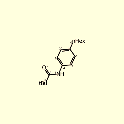 CCCCCCc1ccc(NC(=O)C(C)(C)C)cc1